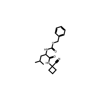 CC(C)CC(NC(=O)OCc1ccccc1)C(=O)NC1(C#N)CCC1